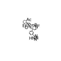 CCCCc1cn(C2C(CC)CCC2C(C)=O)c(=O)n1CC1(c2cccc(-c3nnn[nH]3)c2)C=CN=CC1